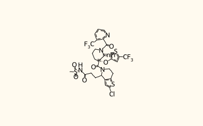 CCC[C@H]1N(C(=O)c2ncccc2C(F)(F)F)CCC[C@]1(Oc1csc(C(F)(F)F)c1)C(=O)N1CCc2sc(Cl)cc2C1CCC(=O)NS(C)(=O)=O